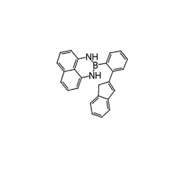 C1=C(c2ccccc2B2Nc3cccc4cccc(c34)N2)Cc2ccccc21